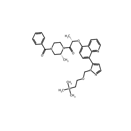 C[C@H](Oc1ccc(-c2ccnn2COCC[Si](C)(C)C)c2ncccc12)C(=O)N1CCN(C(=O)c2ccccc2)C[C@H]1C